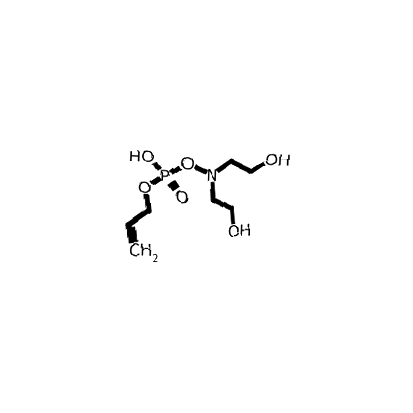 C=CCOP(=O)(O)ON(CCO)CCO